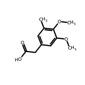 COc1cc(CC(=O)O)cc(C)c1OC